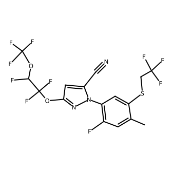 Cc1cc(F)c(-n2nc(OC(F)(F)C(F)OC(F)(F)F)cc2C#N)cc1SCC(F)(F)F